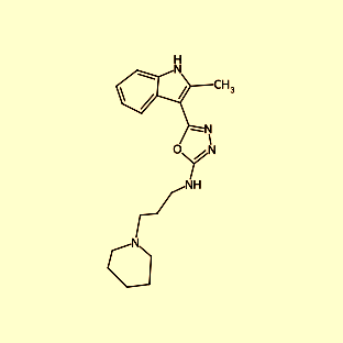 Cc1[nH]c2ccccc2c1-c1nnc(NCCCN2CCCCC2)o1